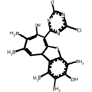 BC1=CC2C(=C(c3nc(Cl)nc(Cl)n3)C(O)=C1B)Sc1c(B)c(O)c(B)c(B)c12